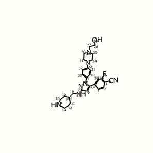 N#Cc1ccc(-c2cc(NC[C@H]3CCCNCC3)nn2-c2ccc(N3CCN(CCO)CC3)cc2)cc1F